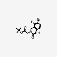 CC(C)(C)OC(=O)CN1Cc2c(ccc(Br)c2F)NC1=O